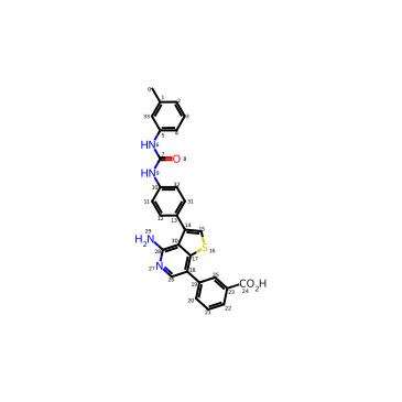 Cc1cccc(NC(=O)Nc2ccc(-c3csc4c(-c5cccc(C(=O)O)c5)cnc(N)c34)cc2)c1